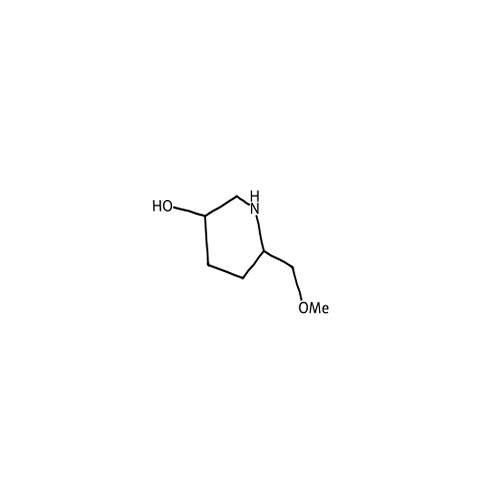 COCC1CCC(O)CN1